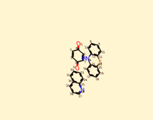 O=C1C=CC(=O)C=C1.c1ccc2c(c1)Nc1ccccc1S2.c1ccc2ncccc2c1